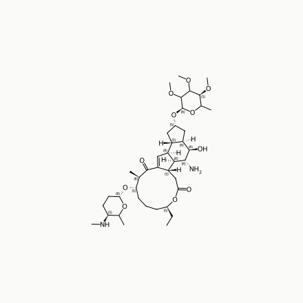 CC[C@H]1CCC[C@H](O[C@H]2CC[C@H](NC)C(C)O2)[C@@H](C)C(=O)C2=C[C@H]3[C@@H]4C[C@H](O[C@@H]5OC(C)[C@H](OC)C(OC)C5OC)C[C@H]4[C@@H](O)[C@H](N)[C@H]3[C@@H]2CC(=O)O1